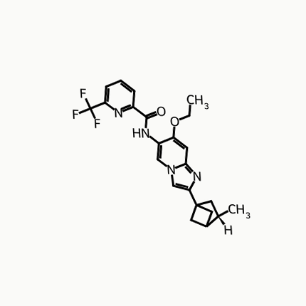 CCOc1cc2nc(C34CC(C3)[C@@H](C)C4)cn2cc1NC(=O)c1cccc(C(F)(F)F)n1